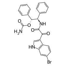 NC(=O)O[C@H](c1ccccc1)[C@H](NC(=O)C(=O)c1c[nH]c2cc(Br)ccc12)c1ccccc1